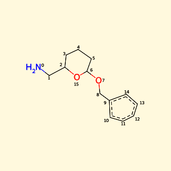 NCC1CCCC(OCc2ccccc2)O1